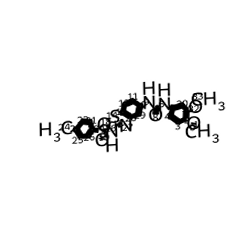 COc1ccc(NC(=O)Nc2ccc3sc(NS(=O)(=O)c4ccc(C)cc4)nc3c2)cc1OC